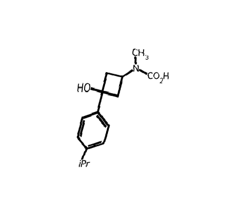 CC(C)c1ccc(C2(O)CC(N(C)C(=O)O)C2)cc1